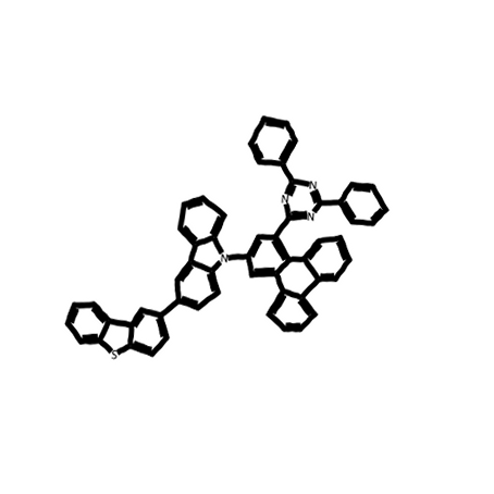 c1ccc(-c2nc(-c3ccccc3)nc(-c3cc(-n4c5ccccc5c5cc(-c6ccc7sc8ccccc8c7c6)ccc54)cc4c5ccccc5c5ccccc5c34)n2)cc1